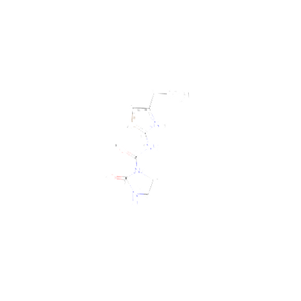 O=C(O)Cc1csc(NC(=O)N2CCNC2=O)n1